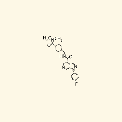 CN(C)C(=O)C1CCC(CNC(=O)c2cncc3c2cnn3-c2ccc(F)cc2)CC1